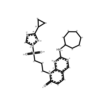 O=c1ccc2cnc(NC3CCCCCC3)nc2n1CCCS(=O)(=O)n1cnc(C2CC2)n1